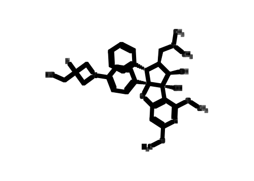 COc1cc2c(c(OC)n1)[C@]1(O)[C@H](O)[C@H](CN(C)C)[C@@H](c3ccccc3)[C@]1(c1ccc(N3CC(F)(CO)C3)cc1)O2